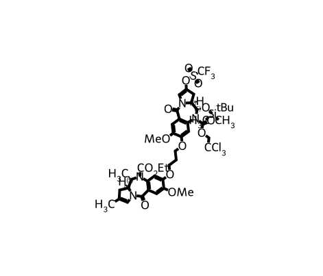 CCOC(=O)N1c2cc(OCCCOc3cc4c(cc3OC)C(=O)N3C=C(OS(=O)(=O)C(F)(F)F)C[C@H]3[C@H](O[Si](C)(C)C(C)(C)C)N4C(=O)OCC(Cl)(Cl)Cl)c(OC)cc2C(=O)N2C=C(C)C[C@H]2[C@@H]1C